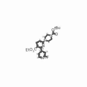 CCOC(=O)c1ccc(N2CCN(C(=O)OC(C)(C)C)CC2)nc1-c1ccnc(F)c1